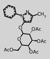 CC(=O)OC[C@H]1OC(Oc2cc(C)nn2-c2ccccc2)[C@H](OC(C)=O)[C@@H](OC(C)=O)[C@H]1OC(C)=O